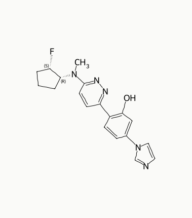 CN(c1ccc(-c2ccc(-n3ccnc3)cc2O)nn1)[C@@H]1CCC[C@@H]1F